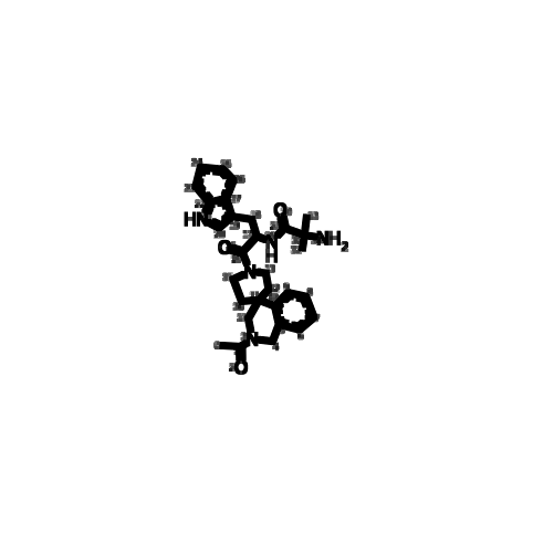 CC(=O)N1Cc2ccccc2C2(CCN(C(=O)C(Cc3c[nH]c4ccccc34)NC(=O)C(C)(C)N)CC2)C1